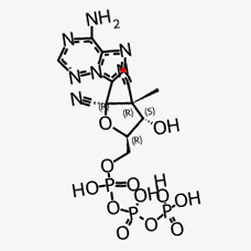 C[C@@]1(C#N)[C@H](O)[C@@H](COP(=O)(O)OP(=O)(O)OP(=O)(O)O)O[C@@]1(C#N)c1cnc2c(N)ncnn12